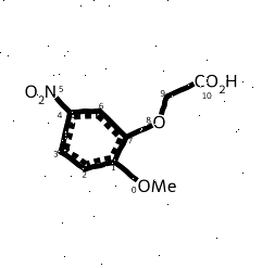 COc1ccc([N+](=O)[O-])cc1OCC(=O)O